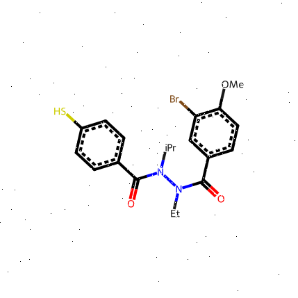 CCN(C(=O)c1ccc(OC)c(Br)c1)N(C(=O)c1ccc(S)cc1)C(C)C